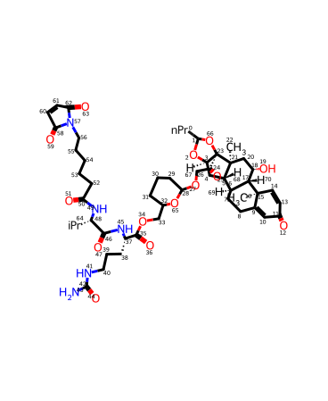 CCCC1O[C@@H]2C[C@H]3[C@@H]4CCC5=CC(=O)C=C[C@]5(C)[C@H]4[C@@H](O)C[C@]3(C)[C@]2(C(=O)COC2CCCC(COC(=O)[C@H](CCCNC(N)=O)NC(=O)[C@@H](NC(=O)CCCCCN3C(=O)C=CC3=O)C(C)C)O2)O1